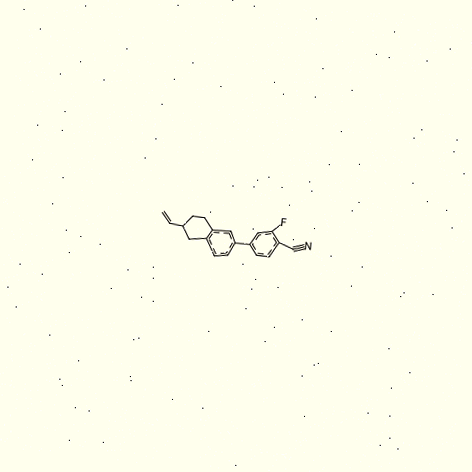 C=CC1CCc2cc(-c3ccc(C#N)c(F)c3)ccc2C1